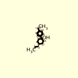 CCC[C@H]1CC[C@@](O)(c2ccc(CC)cc2)CC1